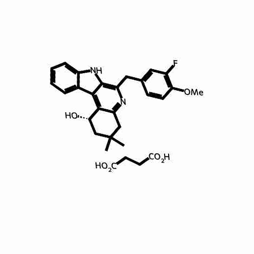 COc1ccc(Cc2nc3c(c4c2[nH]c2ccccc24)[C@@H](O)CC(C)(C)C3)cc1F.O=C(O)CCC(=O)O